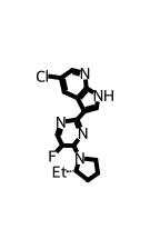 CC[C@H]1CCCN1C1N=C(c2c[nH]c3ncc(Cl)cc23)N=CC1F